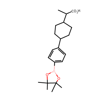 CC(C(=O)O)C1CCC(c2ccc(B3OC(C)(C)C(C)(C)O3)cc2)CC1